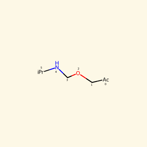 CC(=O)COCNC(C)C